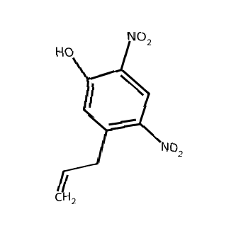 C=CCc1cc(O)c([N+](=O)[O-])cc1[N+](=O)[O-]